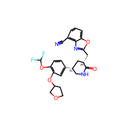 N#Cc1cccc2oc(C[C@H]3C[C@@H](c4ccc(OC(F)F)c(OC5CCOC5)c4)CNC3=O)nc12